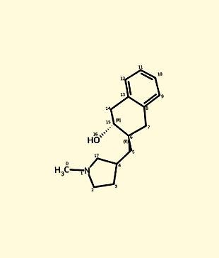 CN1CCC(C[C@@H]2Cc3ccccc3C[C@H]2O)C1